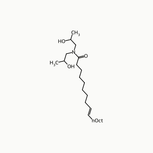 CCCCCCCCC=CCCCCCCCC(=O)N(CC(C)O)CC(C)O